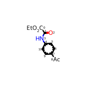 CCOC(=O)C(=O)Nc1ccc(C(C)=O)cc1